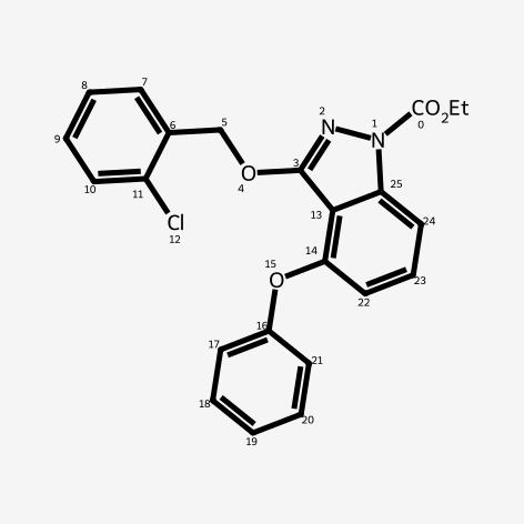 CCOC(=O)n1nc(OCc2ccccc2Cl)c2c(Oc3ccccc3)cccc21